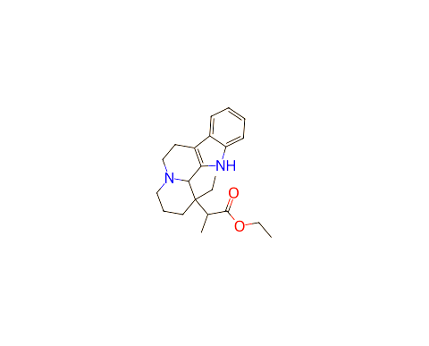 CCOC(=O)C(C)C1(CC)CCCN2CCc3c([nH]c4ccccc34)C21